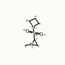 CN1CC1S(=O)(=O)N1CCC1